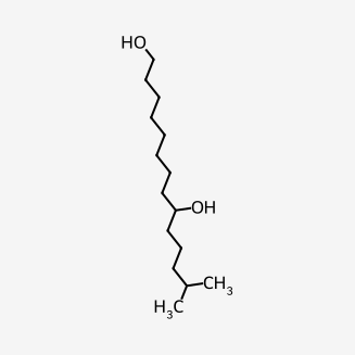 CC(C)CCCC(O)CCCCCCCCO